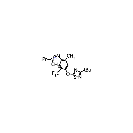 Cc1cc(Oc2nc(C(C)(C)C)ns2)c(C(F)(F)F)cc1/N=C\N(C)C(C)C